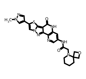 Cn1cc(-c2cn3nc4c5ncc(NC(=O)CN6CCCCC67COC7)cc5[nH]c(=O)c4c3s2)cn1